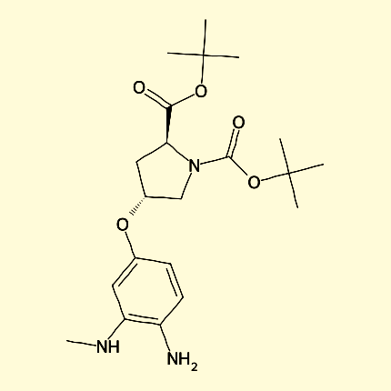 CNc1cc(O[C@@H]2C[C@@H](C(=O)OC(C)(C)C)N(C(=O)OC(C)(C)C)C2)ccc1N